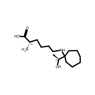 C[C@H](O)C1(NCCCC[C@H](N)C(=O)O)CCCCCC1